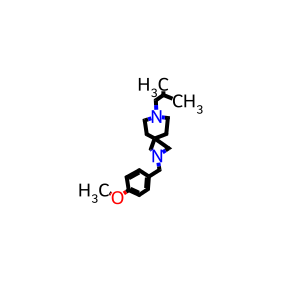 COc1ccc(CN2CC3(CCN(CC(C)C)CC3)C2)cc1